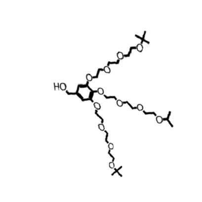 CC(C)OCCOCCOCCOc1c(OCCOCCOCCOC(C)(C)C)cc(CO)cc1OCCOCCOCCOC(C)(C)C